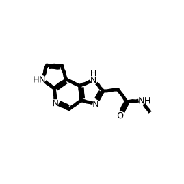 CNC(=O)Cc1nc2cnc3[nH]ccc3c2[nH]1